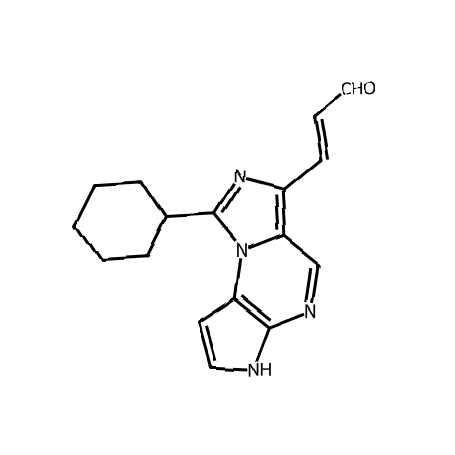 O=C/C=C/c1nc(C2CCCCC2)n2c1cnc1[nH]ccc12